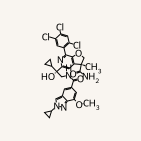 COc1cc(C(=O)NC[C@](O)(c2cc3c(c(-c4cc(Cl)c(Cl)cc4Cl)n2)OC[C@]3(C)C(N)=O)C2CC2)cc2cn(C3CC3)nc12